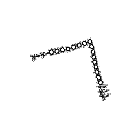 C1CCCCC1.C1CCCCC1.C1CCCCC1.C1CCCCC1.C1CCCCC1.C1CCCCC1.C1CCCCC1.C1CCCCC1.C1CCCCC1.C1CCCCC1.C1CCCCC1.C1CCCCC1.C1CCCCC1.C1CCCCC1.C1CCCCC1.C1CCCCC1.CCOC(C)=O.CCOC(C)=O.CCOC(C)=O.CCOC(C)=O.CCOC(C)=O